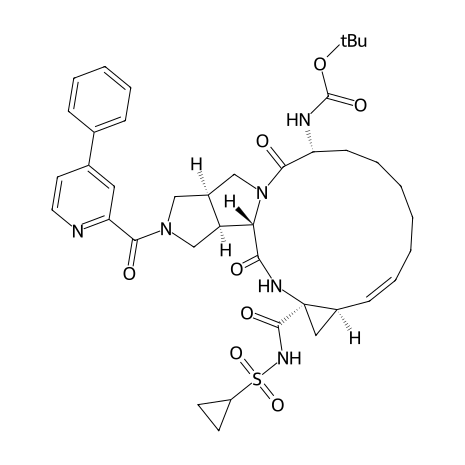 CC(C)(C)OC(=O)N[C@@H]1CCCCC/C=C\[C@H]2C[C@@]2(C(=O)NS(=O)(=O)C2CC2)NC(=O)[C@@H]2[C@H]3CN(C(=O)c4cc(-c5ccccc5)ccn4)C[C@H]3CN2C1=O